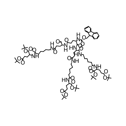 CC(C)(C)OC(=O)CCC(NC(=O)CCCCCNC(=O)CCC(C=O)NC(=O)CCC(NC(=O)OCC1c2ccccc2-c2ccccc21)C(=O)NC(CCC(=O)NCCCCCC(=O)NC(CCC(=O)OC(C)(C)C)C(=O)OC(C)(C)C)C(=O)NCCCCCC(=O)NC(CCC(=O)OC(C)(C)C)C(=O)OC(C)(C)C)C(=O)OC(C)(C)C